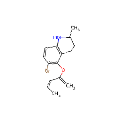 C=C(/C=C\C)Oc1c(Br)ccc2c1CCC(C)N2